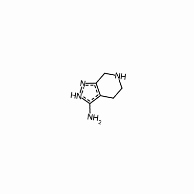 Nc1[nH]nc2c1CCNC2